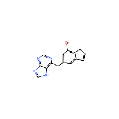 Brc1cc(Cc2ncnc3nc[nH]c23)cc2c1CC=C2